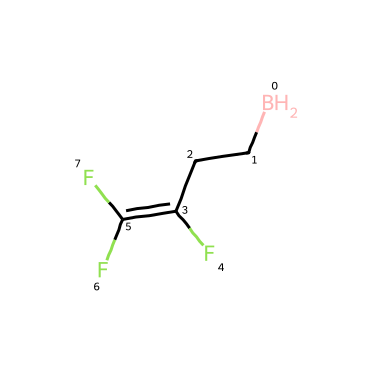 BCCC(F)=C(F)F